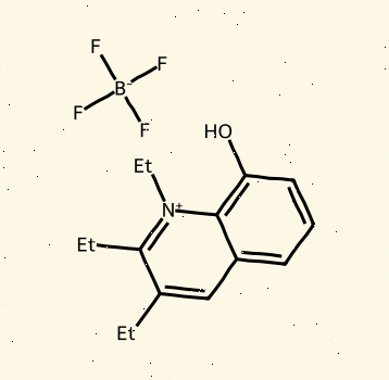 CCc1cc2cccc(O)c2[n+](CC)c1CC.F[B-](F)(F)F